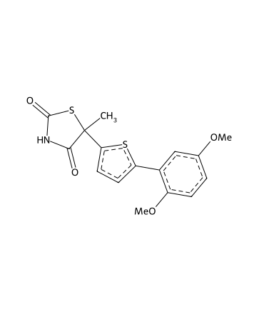 COc1ccc(OC)c(-c2ccc(C3(C)SC(=O)NC3=O)s2)c1